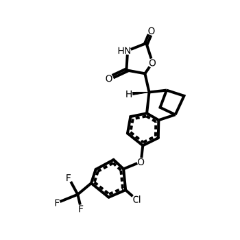 O=C1NC(=O)C([C@H]2c3ccc(Oc4ccc(C(F)(F)F)cc4Cl)cc3C3CC2C3)O1